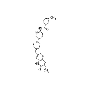 CCc1cc2ncc(CN3CCN(c4ccc(NC(=O)C5CCN(C)C5)nc4)CC3)cc2[nH]c1=O